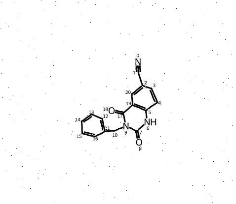 N#Cc1ccc2[nH]c(=O)n(Cc3ccccc3)c(=O)c2c1